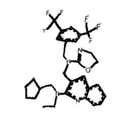 CCN(CC1CCCC1)c1nc2ccccc2cc1CN(Cc1cc(C(F)(F)F)cc(C(F)(F)F)c1)C1=NCCO1